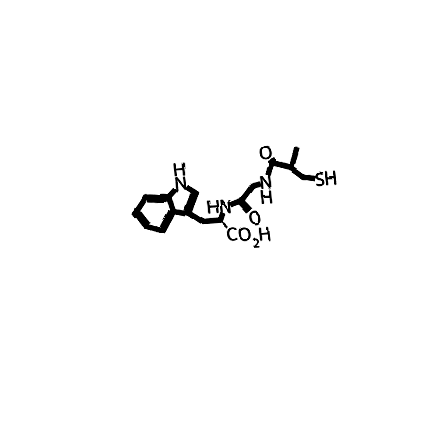 CC(CS)C(=O)NCC(=O)N[C@@H](Cc1c[nH]c2ccccc12)C(=O)O